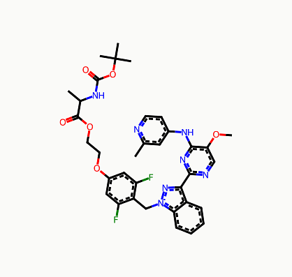 COc1cnc(-c2nn(Cc3c(F)cc(OCCOC(=O)C(C)NC(=O)OC(C)(C)C)cc3F)c3ccccc23)nc1Nc1ccnc(C)c1